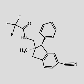 C[C@@]1(CNC(=O)C(F)(F)F)Cc2ccc(C#N)cc2[C@@H]1c1ccccc1